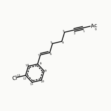 CC(=O)C#CCCCC=Cc1cccc(Cl)c1